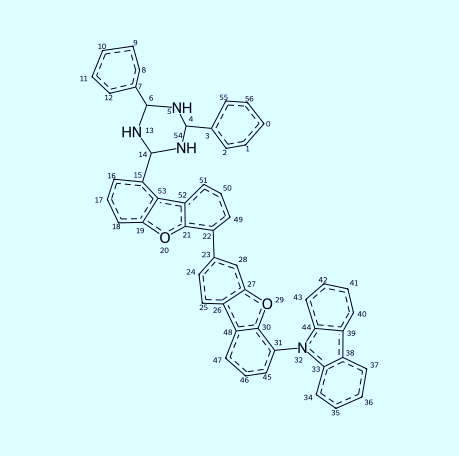 c1ccc(C2NC(c3ccccc3)NC(c3cccc4oc5c(-c6ccc7c(c6)oc6c(-n8c9ccccc9c9ccccc98)cccc67)cccc5c34)N2)cc1